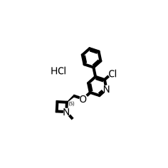 CN1CC[C@H]1COc1cnc(Cl)c(-c2ccccc2)c1.Cl